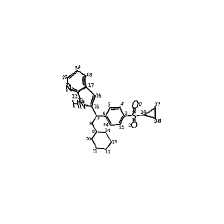 O=S(=O)(c1ccc(C(CC2CCCCC2)c2cc3cccnc3[nH]2)cc1)C1CC1